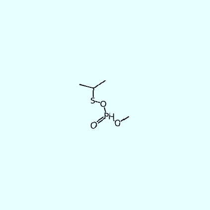 CO[PH](=O)OSC(C)C